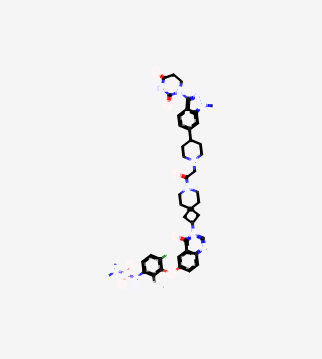 CCN(C)S(=O)(=O)Nc1ccc(F)c(Oc2ccc3ncn(C4CC5(CCN(C(=O)CN6CCC(c7ccc8c(N9CCC(=O)NC9=O)nn(C)c8c7)CC6)CC5)C4)c(=O)c3c2)c1C#N